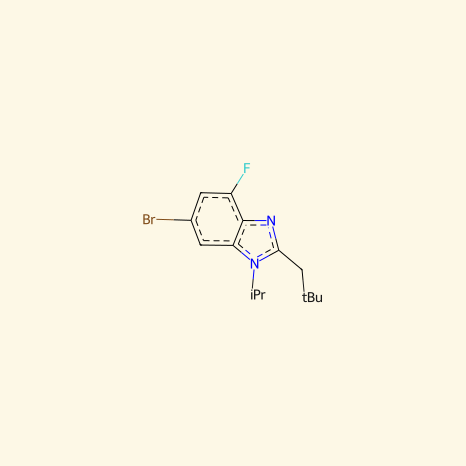 CC(C)n1c(CC(C)(C)C)nc2c(F)cc(Br)cc21